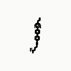 C=CCc1cnc(-c2ccc(-c3ccc(C#CCCCC(C)F)cc3)cc2)nc1